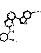 COc1ccc2c(-c3cncc4cnc(N[C@@H]5CCCC[C@@H]5N)nc34)c[nH]c2c1